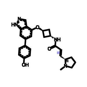 CN1CCC[C@H]1/C=C/C(=O)N[C@H]1C[C@H](Oc2cc(-c3ccc(O)cc3)cc3[nH]ncc23)C1